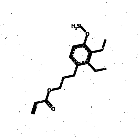 C=CC(=O)OCCCc1ccc(O[SiH3])c(CC)c1CC